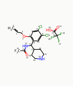 C=CCOc1cc(Cl)c(Cl)cc1C(NC(=O)C(F)(F)F)C1CCNCC1.O=C(O)C(F)(F)F